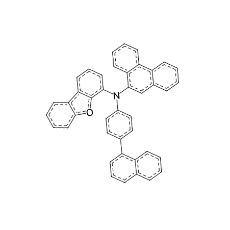 c1ccc2c(-c3ccc(N(c4cc5ccccc5c5ccccc45)c4cccc5c4oc4ccccc45)cc3)cccc2c1